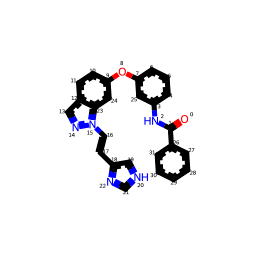 O=C(Nc1cccc(Oc2ccc3cnn(C=Cc4c[nH]cn4)c3c2)c1)c1ccccc1